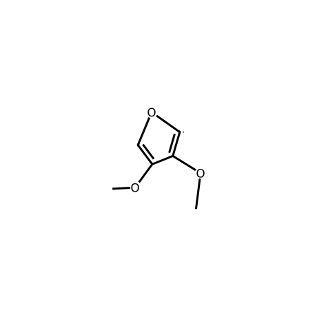 COc1[c]occ1OC